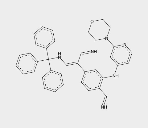 N=C/C(=C\NC(c1ccccc1)(c1ccccc1)c1ccccc1)c1ccc(C=N)c(Nc2ccnc(N3CCOCC3)c2)c1